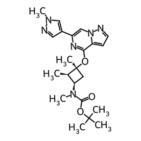 C[C@@H]1[C@H](N(C)C(=O)OC(C)(C)C)C[C@@]1(C)Oc1nc(-c2cnn(C)c2)cn2nccc12